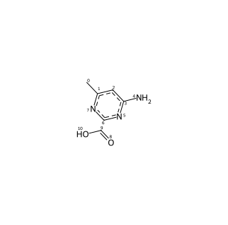 Cc1cc(N)ncn1.O=CO